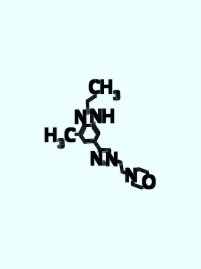 CCCc1nc2c(C)cc(-c3cn(CCN4CCOCC4)cn3)cc2[nH]1